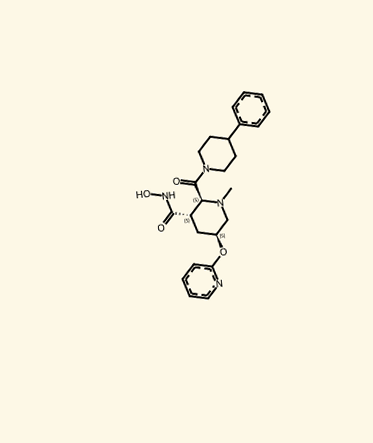 CN1C[C@@H](Oc2ccccn2)C[C@H](C(=O)NO)[C@H]1C(=O)N1CCC(c2ccccc2)CC1